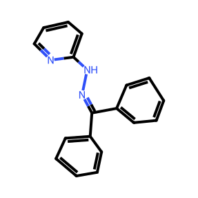 c1ccc(C(=NNc2ccccn2)c2ccccc2)cc1